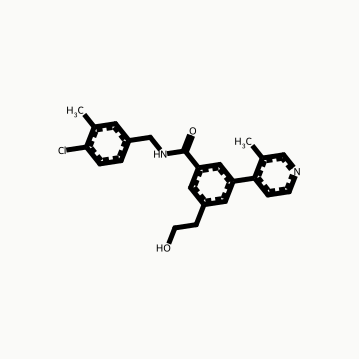 Cc1cc(CNC(=O)c2cc(CCO)cc(-c3ccncc3C)c2)ccc1Cl